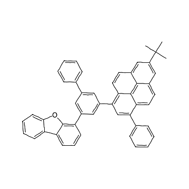 CC(C)(C)c1cc2ccc3c(-c4ccccc4)cc(-c4cc(-c5ccccc5)cc(-c5cccc6c5oc5ccccc56)c4)c4ccc(c1)c2c34